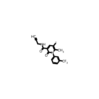 C#CCNC(=O)c1cc(I)c(C)n(-c2cccc(C(F)(F)F)c2)c1=O